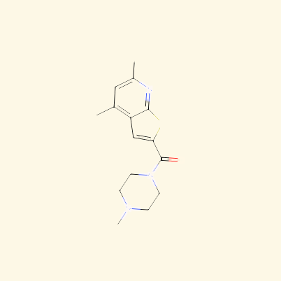 Cc1cc(C(F)(F)F)nc2sc(C(=O)N3CCN(C)CC3)cc12